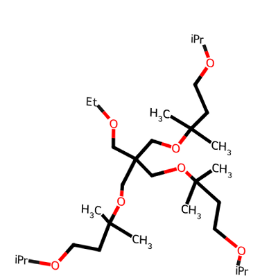 CCOCC(COC(C)(C)CCOC(C)C)(COC(C)(C)CCOC(C)C)COC(C)(C)CCOC(C)C